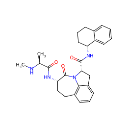 CN[C@@H](C)C(=O)N[C@H]1CCc2cccc3c2N(C1=O)[C@H](C(=O)N[C@@H]1CCCc2ccccc21)C3